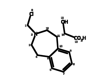 ClCN1CCc2ccccc2CC1.O=C(O)CO